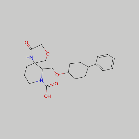 O=C1COCC2(CCCN(C(=O)O)C2COC2CCC(c3ccccc3)CC2)N1